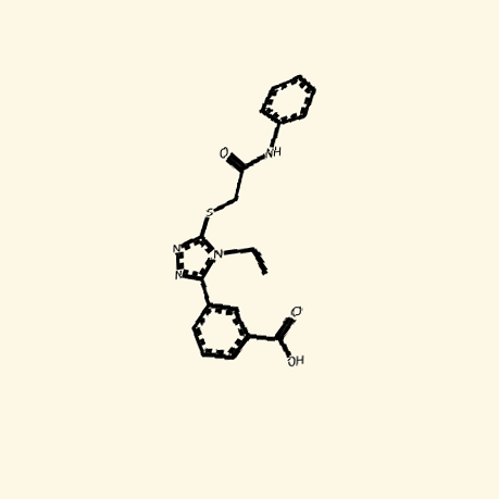 CCn1c(SCC(=O)Nc2ccccc2)nnc1-c1cccc(C(=O)O)c1